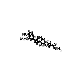 C=CC(=O)N1CC(CN2CCC(n3ncc(-c4cc(OC)c5c(C#N)cnn5c4)c3C)CC2)(OC)C1